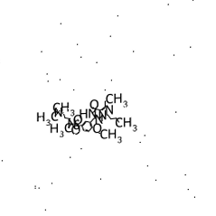 CCCc1nc(CC)c2c(=O)[nH]c(-c3cc(S(=O)(=O)N(C)CCCN(C)C)ccc3OCC)nn12